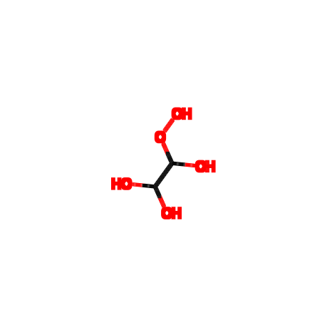 OOC(O)C(O)O